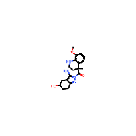 COc1cccc2c1NCCC2(C)C(=O)n1nc2c(c1N)CC(O)CC2